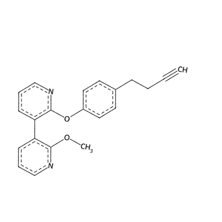 C#CCCc1ccc(Oc2ncccc2-c2cccnc2OC)cc1